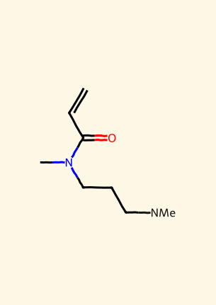 C=CC(=O)N(C)CCCNC